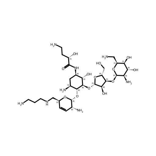 NCCCNC[C@@H]1C=C[C@@H](N)[C@@H](O[C@H]2[C@H](O[C@@H]3O[C@H](CO)[C@@H](O[C@H]4O[C@@H](CN)[C@@H](O)[C@H](O)[C@H]4N)[C@H]3O)[C@@H](O)[C@H](NC(=O)[C@@H](O)CCN)C[C@@H]2N)O1